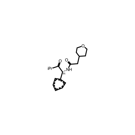 CC(C)C(=O)[C@H](NC(=O)CC1CCOCC1)c1ccccc1